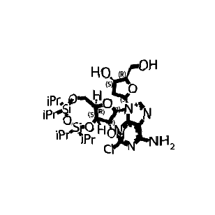 CC(C)[Si]1(C(C)C)OC[C@H]2O[C@@H]([N+]3([C@@H]4C[C@H](O)[C@@H](CO)O4)C=Nc4c(N)nc(Cl)nc43)[C@H](O)[C@@H]2O[Si](C(C)C)(C(C)C)O1